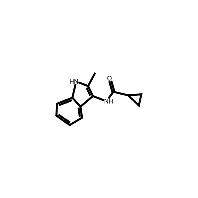 Cc1[nH]c2ccccc2c1NC(=O)C1CC1